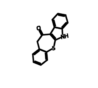 O=C1Cc2ccccc2Sc2[nH]c3ccccc3c21